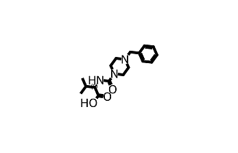 CC(C)[C@H](NC(=O)N1CCN(Cc2ccccc2)CC1)C(=O)O